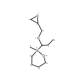 CCC(OCC1CO1)[Si]1(C)CCCCO1